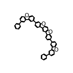 c1ccc(-c2ccc3oc4ccc(-c5ccc6c(c5)oc5cc7oc8cc(-c9ccc%10oc%11ccc(-c%12ccccc%12)cc%11c%10c9)ccc8c7cc56)cc4c3c2)cc1